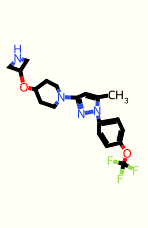 Cc1cc(N2CCC(OC3CNC3)CC2)nn1-c1ccc(OC(F)(F)F)cc1